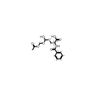 CC(=O)OCOC(O)SC[C@H](NC(=O)c1ccccc1)C(=O)O